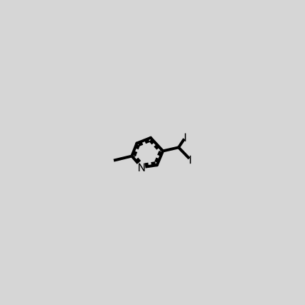 Cc1ccc(C(I)I)cn1